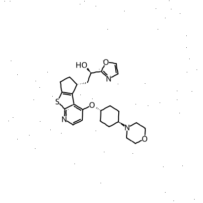 O[C@H](C[C@H]1CCc2sc3nccc(O[C@H]4CC[C@H](N5CCOCC5)CC4)c3c21)c1ncco1